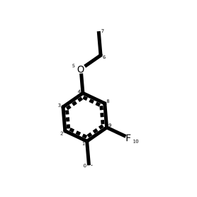 [CH2]c1ccc(OCC)cc1F